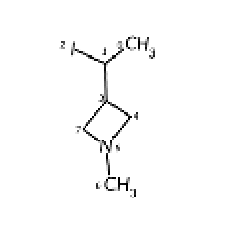 CC(I)C1CN(C)C1